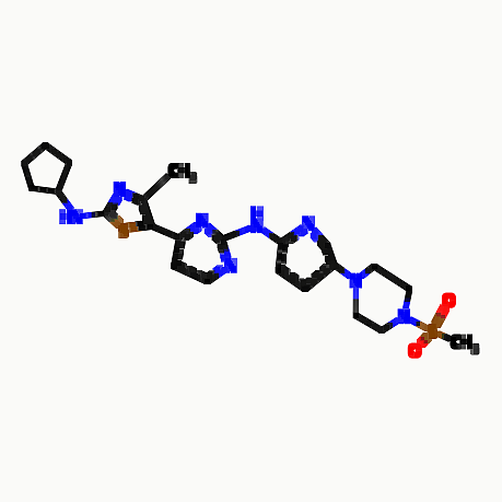 Cc1nc(NC2CCCC2)sc1-c1ccnc(Nc2ccc(N3CCN(S(C)(=O)=O)CC3)cn2)n1